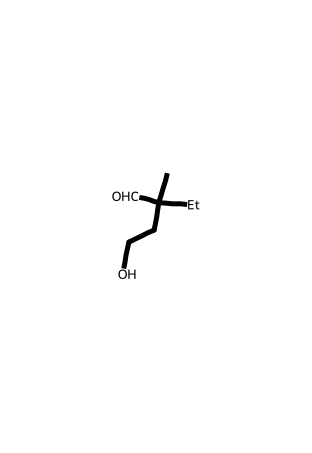 CCC(C)(C=O)CCO